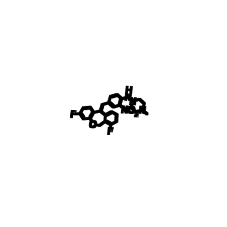 CN1CCN(Nc2ccc(C=C3c4ccc(F)cc4OCc4c(F)cccc43)cc2[N+](=O)[O-])CC1